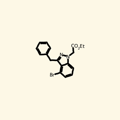 CCOC(=O)Cn1nc(Cc2ccccc2)c2c(Br)cccc21